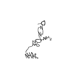 CC(=O)NCCCCNC(=O)c1ccc(N2CCN(c3ccccc3C)CC2)c(N)c1